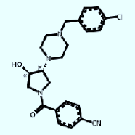 N#Cc1ccc(C(=O)N2C[C@@H](O)[C@H](N3CCN(Cc4ccc(Cl)cc4)CC3)C2)cc1